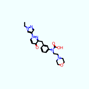 CCn1cc(-n2ccc(=O)c(Cc3cccc(N(CCN4CCOCC4)C(=O)O)c3)n2)cn1